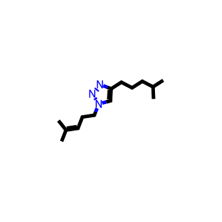 CC(C)=CCCn1cc(CCCC(C)C)nn1